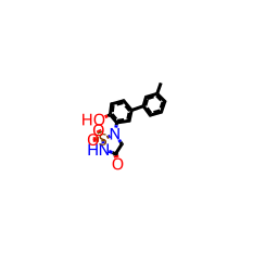 Cc1cccc(-c2ccc(O)c(N3CC(=O)NS3(=O)=O)c2)c1